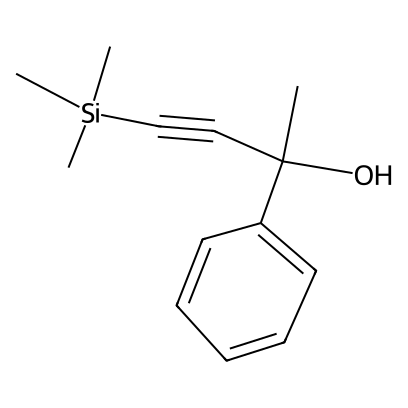 CC(O)(C#C[Si](C)(C)C)c1ccccc1